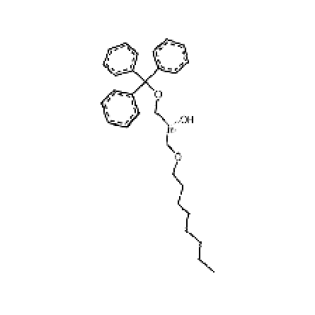 CCCCCCCCOC[C@@H](O)COC(c1ccccc1)(c1ccccc1)c1ccccc1